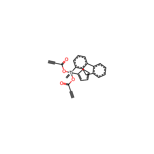 C#CC(=O)[O][Ti](=[CH2])([O]C(=O)C#C)([C]1=CC=CC1)[c]1cccc2c1Cc1ccccc1-2